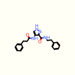 O=C(CCc1ccccc1)Nc1c[nH]nc1C(=O)NCCc1ccccc1